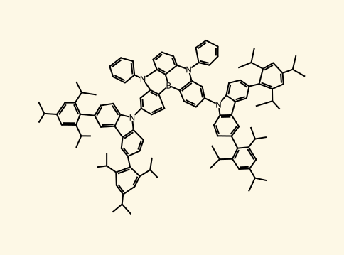 CC(C)c1cc(C(C)C)c(-c2ccc3c(c2)c2cc(-c4c(C(C)C)cc(C(C)C)cc4C(C)C)ccc2n3-c2ccc3c(c2)N(c2ccccc2)c2cccc4c2B3c2ccc(-n3c5ccc(-c6c(C(C)C)cc(C(C)C)cc6C(C)C)cc5c5cc(-c6c(C(C)C)cc(C(C)C)cc6C(C)C)ccc53)cc2N4c2ccccc2)c(C(C)C)c1